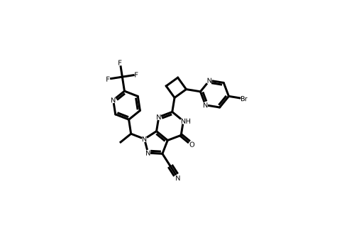 CC(c1ccc(C(F)(F)F)nc1)n1nc(C#N)c2c(=O)[nH]c(C3CCC3c3ncc(Br)cn3)nc21